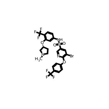 CN1CC[C@@H](Oc2cc(NS(=O)(=O)c3cnc(Oc4ccc(C(F)(F)F)cc4)c(Br)c3)ccc2C(F)(F)F)C1